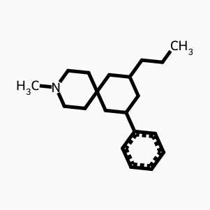 CCCC1CC(c2ccccc2)CC2(CCN(C)CC2)C1